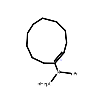 CCCCCCCN(CCC)/C1=C/CCCCCCCCC1